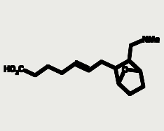 CNCC1C2CCC(O2)C1CC=CCCCC(=O)O